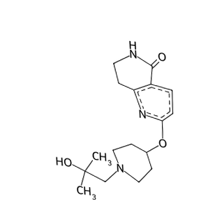 CC(C)(O)CN1CCC(Oc2ccc3c(n2)CCNC3=O)CC1